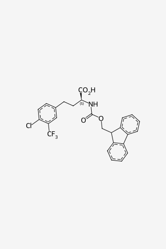 O=C(N[C@@H](CCc1ccc(Cl)c(C(F)(F)F)c1)C(=O)O)OCC1c2ccccc2-c2ccccc21